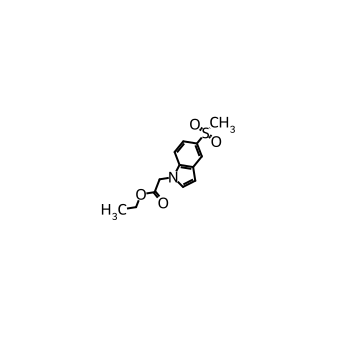 CCOC(=O)Cn1ccc2cc(S(C)(=O)=O)ccc21